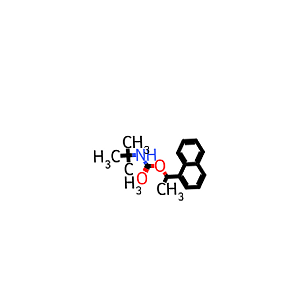 CC(OC(=O)NC(C)(C)C)c1cccc2ccccc12